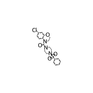 O=C(N1CCN(S(=O)(=O)c2ccccc2)CC1)N1CCOc2cc(Cl)ccc21